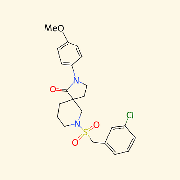 COc1ccc(N2CCC3(CCCN(S(=O)(=O)Cc4cccc(Cl)c4)C3)C2=O)cc1